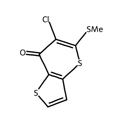 CSc1sc2ccsc2c(=O)c1Cl